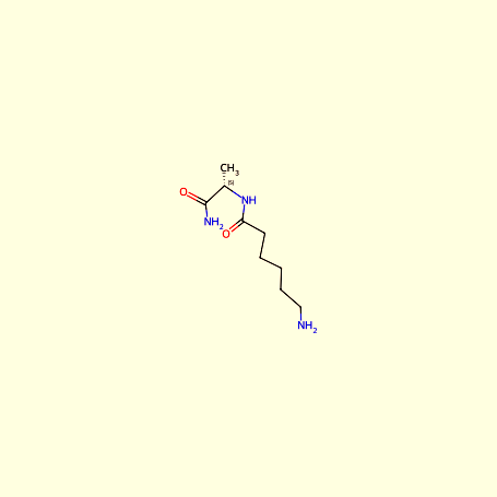 C[C@H](NC(=O)CCCCCN)C(N)=O